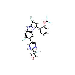 Fc1cc2nc3n(c2cc1-c1cnc(C2(F)COC2)nc1)C(c1ccccc1OC(F)F)CC3F